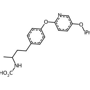 CC(CCc1ccc(Oc2ccc(OC(C)C)cn2)cc1)NC(=O)O